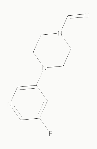 O=CN1CCN(c2cncc(F)c2)CC1